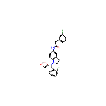 O=C(Cc1cccc(F)c1)Nc1ccc2c(c1)CCN2C(C1=COCO1)c1ccccc1Cl